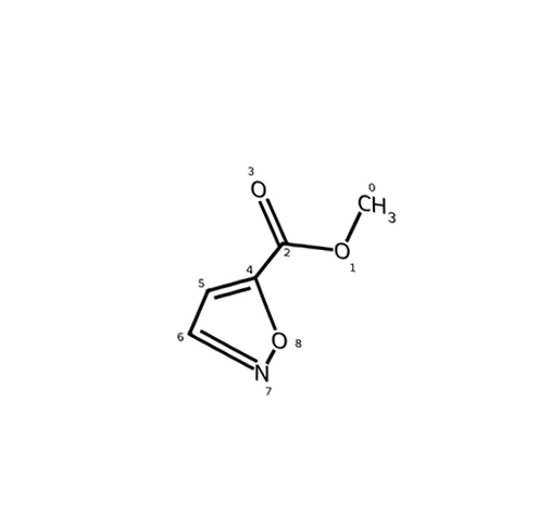 COC(=O)c1ccno1